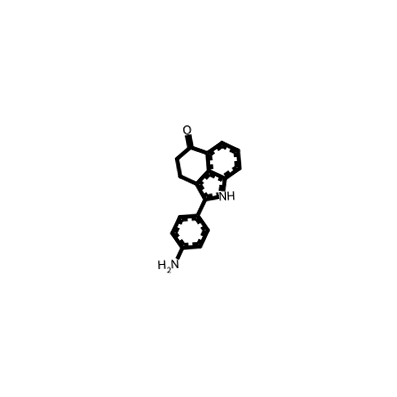 Nc1ccc(-c2[nH]c3cccc4c3c2CCC4=O)cc1